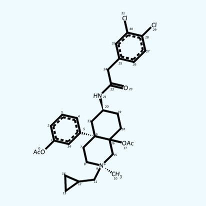 CC(=O)Oc1cccc([C@@]23CC[N@+](C)(CC4CC4)CC2(OC(C)=O)CC[C@H](NC(=O)Cc2ccc(Cl)c(Cl)c2)C3)c1